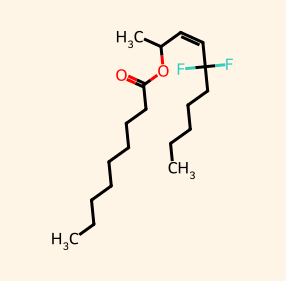 CCCCCCCCC(=O)OC(C)/C=C\C(F)(F)CCCCC